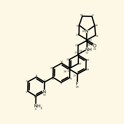 Nc1cccc(-c2ccc(CCNC3CC4CCC(C3)N4C(=O)Cc3ccc(F)cc3)cc2)n1